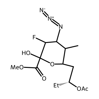 CC[C@H](CC1OC(O)(C(=O)OC)C(F)C(N=[N+]=[N-])C1C)OC(C)=O